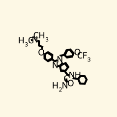 CN(C)CCCOc1ccc(-c2nc3cc(C(CC(N)=O)NCC4CCCCC4)ccc3n2Cc2ccc(OC(F)(F)F)cc2)cc1